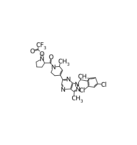 Cc1nn(C(C)c2ccc(Cl)cc2Cl)c2nc(C3=CC(C)N(C(=O)C4CCCN4OC(=O)C(F)(F)F)CC3)cnc12